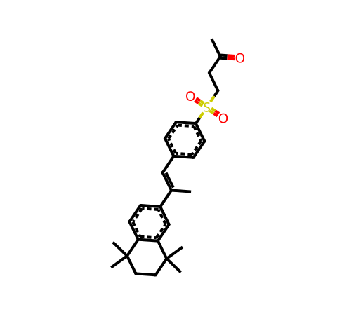 CC(=O)CCS(=O)(=O)c1ccc(C=C(C)c2ccc3c(c2)C(C)(C)CCC3(C)C)cc1